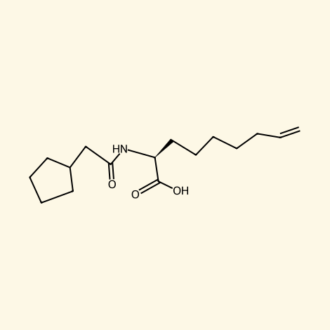 C=CCCCCC[C@H](NC(=O)CC1CCCC1)C(=O)O